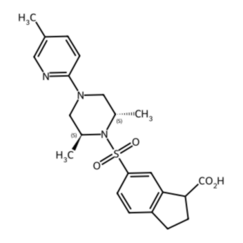 Cc1ccc(N2C[C@H](C)N(S(=O)(=O)c3ccc4c(c3)C(C(=O)O)CC4)[C@@H](C)C2)nc1